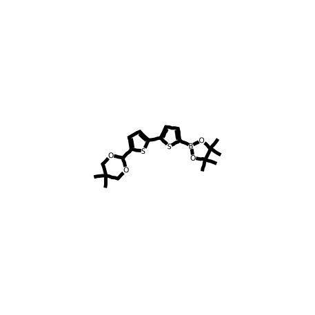 CC1(C)COC(c2ccc(-c3ccc(B4OC(C)(C)C(C)(C)O4)s3)s2)OC1